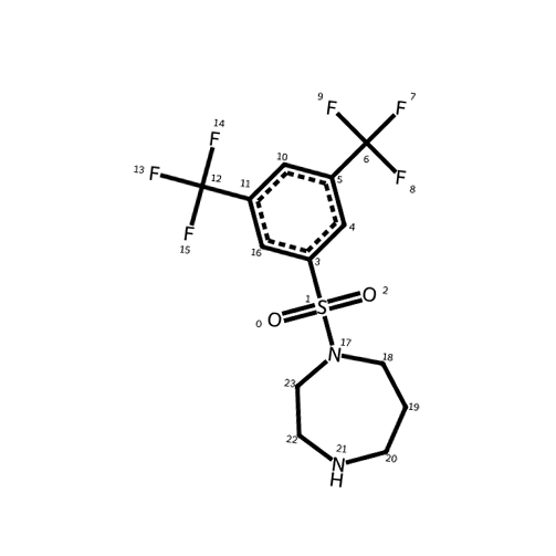 O=S(=O)(c1cc(C(F)(F)F)cc(C(F)(F)F)c1)N1CCCNCC1